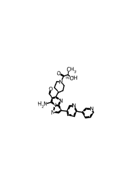 C[C@@H](O)C(=O)N1CCC(c2nc3c(-c4ccc(-c5cccnc5)nc4)cnn3c(N)c2C=O)CC1